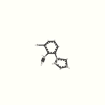 [C-]#[N+]c1c(F)cccc1-n1cncn1